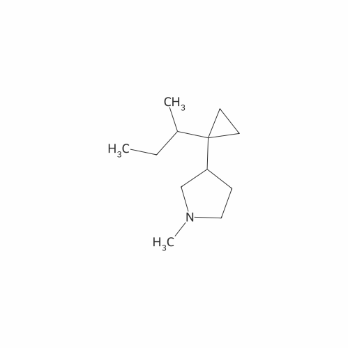 CCC(C)C1(C2CCN(C)C2)CC1